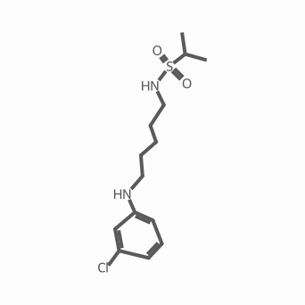 CC(C)S(=O)(=O)NCCCCCNc1cccc(Cl)c1